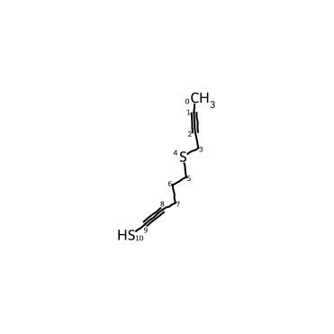 CC#CCSCCCC#CS